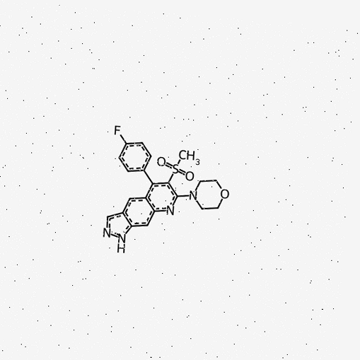 CS(=O)(=O)c1c(N2CCOCC2)nc2cc3[nH]ncc3cc2c1-c1ccc(F)cc1